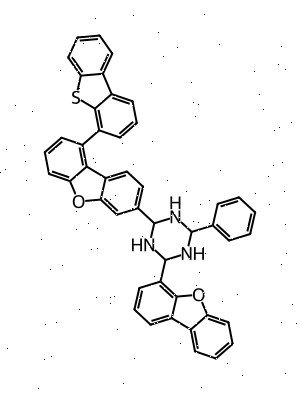 c1ccc(C2NC(c3ccc4c(c3)oc3cccc(-c5cccc6c5sc5ccccc56)c34)NC(c3cccc4c3oc3ccccc34)N2)cc1